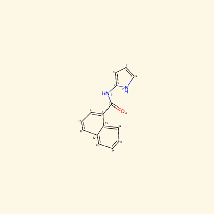 O=C(Nc1ccc[nH]1)c1cccc2ccccc12